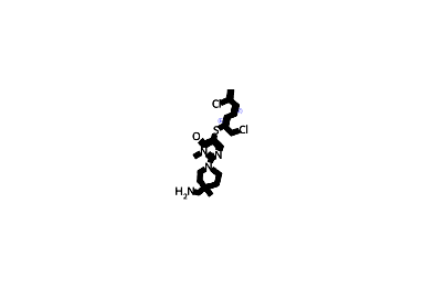 C=C(Cl)/C=C\C=C(/CCl)Sc1cnc(N2CCC(C)(CN)CC2)n(C)c1=O